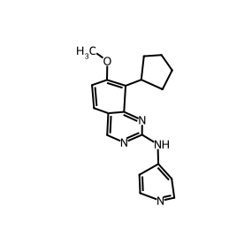 COc1ccc2cnc(Nc3ccncc3)nc2c1C1CCCC1